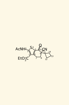 CCOC(=O)c1c(NC(C)=O)sc2c1CCC(C#N)(C1CCC1)C2=O